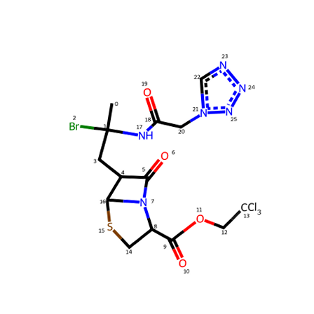 CC(Br)(CC1C(=O)N2C(C(=O)OCC(Cl)(Cl)Cl)CSC12)NC(=O)Cn1cnnn1